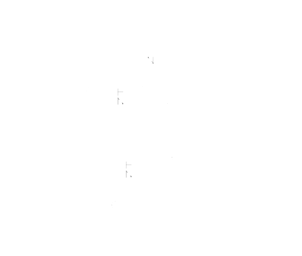 [CH2-][NH+]1CC2=C(c3cccnc3[NH+]2[CH2-])C2(CCCC2)C1